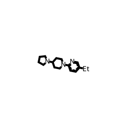 CCc1ccc(N2CCC(N3CCCC3)CC2)nc1